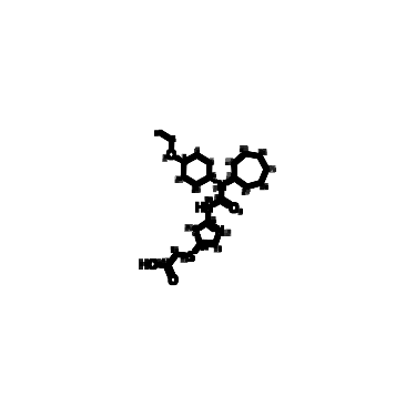 CCO[C@H]1CC[C@H](N(C(=O)Nc2ncc(SCC(=O)O)s2)C2CCCCCC2)CC1